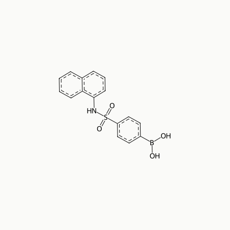 O=S(=O)(Nc1cccc2ccccc12)c1ccc(B(O)O)cc1